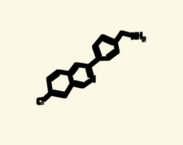 NCc1ccc(-c2cc3ccc(Cl)cc3cn2)cc1